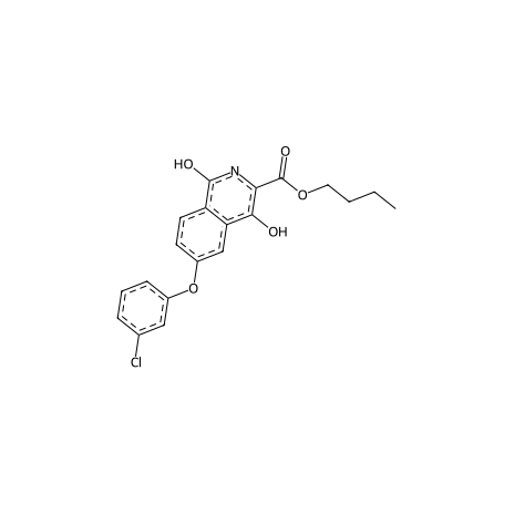 CCCCOC(=O)c1nc(O)c2ccc(Oc3cccc(Cl)c3)cc2c1O